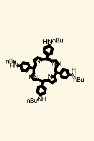 CCCCNc1ccc(-c2c3nc(c(-c4ccc(NCCCC)cc4)c4ccc([nH]4)c(-c4ccc(NCCCC)cc4)c4nc(c(-c5ccc(NCCCC)cc5)c5ccc2[nH]5)C=C4)C=C3)cc1